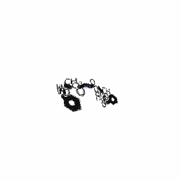 C[C@@H](COC(=O)/C=C/C(=O)OC[C@H](C)NS(=O)(=O)CC1CCCCC1)NS(=O)(=O)CC1CCCCC1